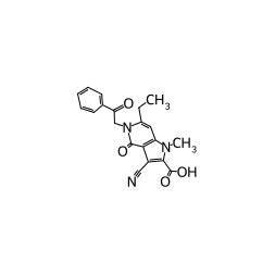 CCc1cc2c(c(C#N)c(C(=O)O)n2C)c(=O)n1CC(=O)c1ccccc1